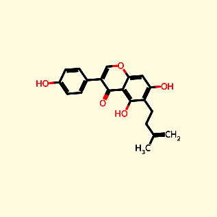 C=C(C)CCc1c(O)cc2occ(-c3ccc(O)cc3)c(=O)c2c1O